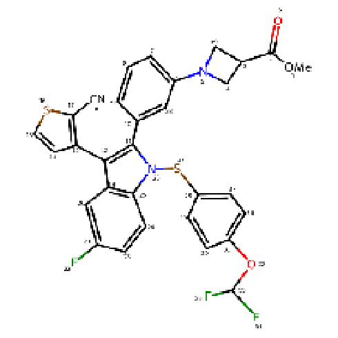 COC(=O)C1CN(c2cccc(-c3c(-c4ccsc4C#N)c4cc(F)ccc4n3Sc3ccc(OC(F)F)cc3)c2)C1